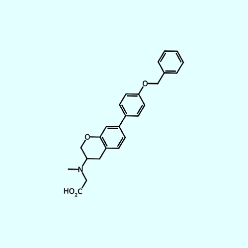 CN(CC(=O)O)C1COc2cc(-c3ccc(OCc4ccccc4)cc3)ccc2C1